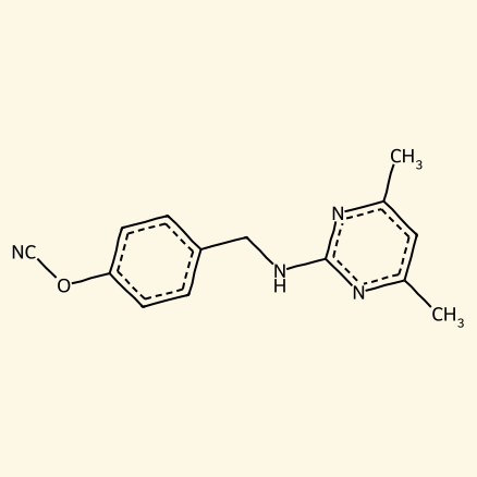 Cc1cc(C)nc(NCc2ccc(OC#N)cc2)n1